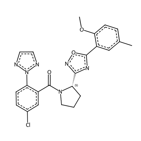 COc1ccc(C)cc1-c1nc([C@@H]2CCCN2C(=O)c2cc(Cl)ccc2-n2nccn2)no1